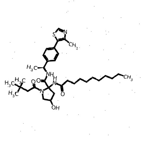 CCCCCCCCCCC(=O)NC1(C(=O)N[C@@H](C)c2ccc(-c3scnc3C)cc2)CC(O)CN1C(=O)CC(C)(C)C